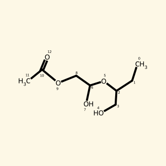 CCC(CO)OC(O)COC(C)=O